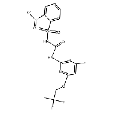 Cc1cc(OCC(F)(F)F)nc(NC(=O)NS(=O)(=O)c2ccccc2[N+](=O)[O-])n1